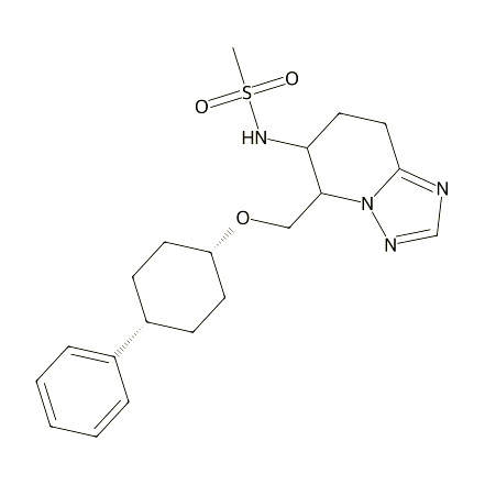 CS(=O)(=O)NC1CCc2ncnn2C1CO[C@H]1CC[C@@H](c2ccccc2)CC1